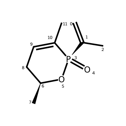 C=C(C)[P@@]1(=O)O[C@@H](C)CC=C1C